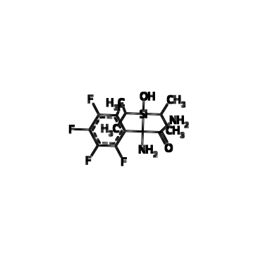 CC(C)[Si](O)(C(C)C)C(N)(C(N)=O)c1c(F)c(F)c(F)c(F)c1F